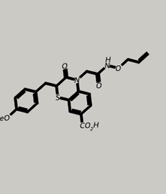 C=CCONC(=O)CN1C(=O)C(Cc2ccc(OC)cc2)Sc2cc(C(=O)O)ccc21